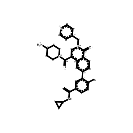 C=C(NC1CC1)c1ccc(C)c(-c2ccc3c(=O)n(Cc4ccncc4)cc(C(=O)N4CCC(N)CC4)c3c2)c1